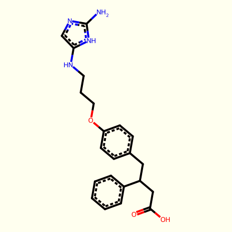 Nc1ncc(NCCCOc2ccc(CC(CC(=O)O)c3ccccc3)cc2)[nH]1